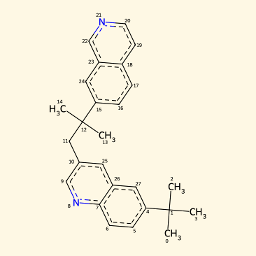 CC(C)(C)c1ccc2ncc(CC(C)(C)c3ccc4ccncc4c3)cc2c1